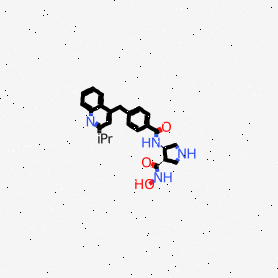 CC(C)c1cc(Cc2ccc(C(=O)N[C@@H]3CNC[C@@H]3C(=O)NO)cc2)c2ccccc2n1